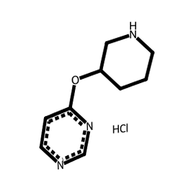 Cl.c1cc(OC2CCCNC2)ncn1